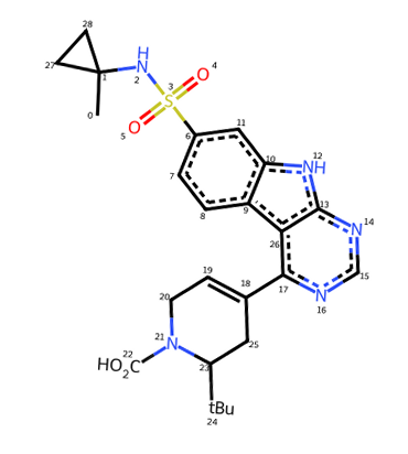 CC1(NS(=O)(=O)c2ccc3c(c2)[nH]c2ncnc(C4=CCN(C(=O)O)C(C(C)(C)C)C4)c23)CC1